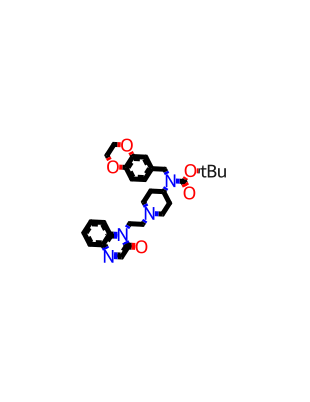 CC(C)(C)OC(=O)N(Cc1ccc2c(c1)OCCO2)C1CCN(CCn2c(=O)cnc3ccccc32)CC1